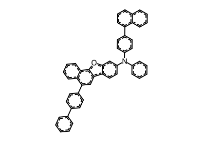 c1ccc(-c2ccc(-c3cc4c5ccc(N(c6ccccc6)c6ccc(-c7cccc8ccccc78)cc6)cc5oc4c4ccccc34)cc2)cc1